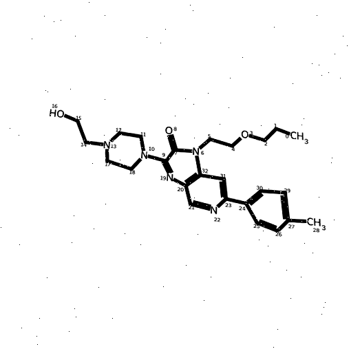 CCCOCCn1c(=O)c(N2CCN(CCO)CC2)nc2cnc(-c3ccc(C)cc3)cc21